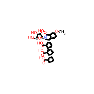 COc1ccc2ccn([C@@H]3O[C@H](CO)[C@@H](O)[C@H]3O)c(=O)c2c1.O=C(O)c1ccccc1.O=C(O)c1ccccc1.O=C(O)c1ccccc1